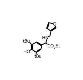 CCOC(=O)C(NCc1ccoc1)c1cc(C(C)(C)C)c(O)c(C(C)(C)C)c1